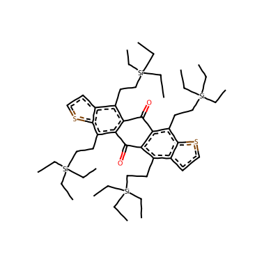 CC[Si](CC)(CC)CCc1c2c(c(CC[Si](CC)(CC)CC)c3sccc13)C(=O)c1c(c(CC[Si](CC)(CC)CC)c3sccc3c1CC[Si](CC)(CC)CC)C2=O